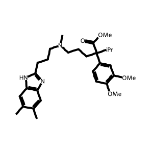 COC(=O)C(CCCN(C)CCCc1nc2cc(C)c(C)cc2[nH]1)(c1ccc(OC)c(OC)c1)C(C)C